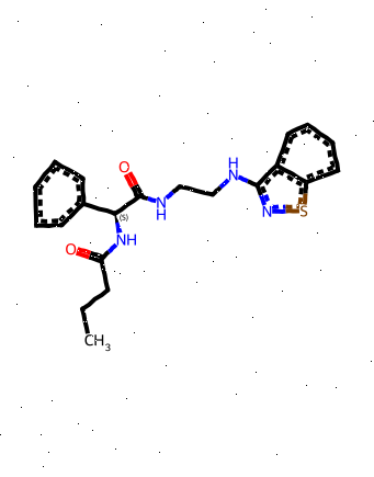 CCCC(=O)N[C@H](C(=O)NCCNc1nsc2ccccc12)c1ccccc1